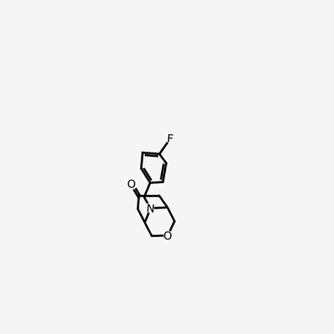 O=C1CC2COCC(C1)N2Cc1ccc(F)cc1